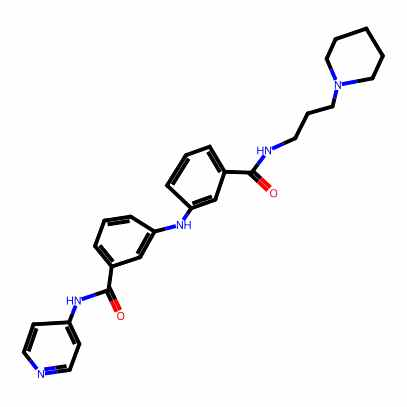 O=C(NCCCN1CCCCC1)c1cccc(Nc2cccc(C(=O)Nc3ccncc3)c2)c1